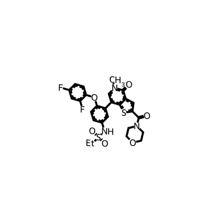 CCS(=O)(=O)Nc1ccc(Oc2ccc(F)cc2F)c(-c2cn(C)c(=O)c3cc(C(=O)N4CCOCC4)sc23)c1